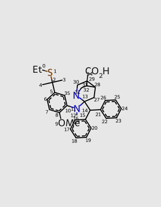 CCSC(C)(C)c1ccc(OC)c(N(C)C2(C(c3ccccc3)c3ccccc3)CC3CCN2CC3C(=O)O)c1